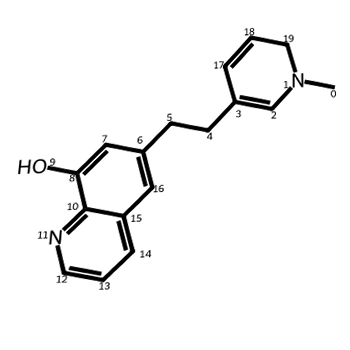 CN1C=C(CCc2cc(O)c3ncccc3c2)C=CC1